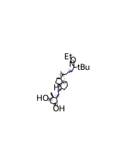 C=C1/C(=C\C=C2/CCC[C@]3(C)C([C@@H](C)C/C=C/C(=NOCC)C(C)(C)C)=CC[C@@H]23)C[C@@H](O)C[C@@H]1O